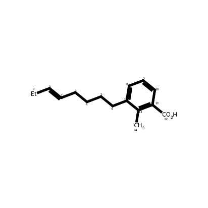 CCC=CCCCCc1cccc(C(=O)O)c1C